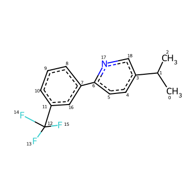 CC(C)c1ccc(-c2cccc(C(F)(F)F)c2)nc1